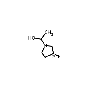 C[C](O)N1CC[C@H](F)C1